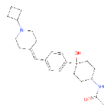 CC(=O)NC1CCC(O)(c2ccc(C=C3CCN(C4CCC4)CC3)cc2)CC1